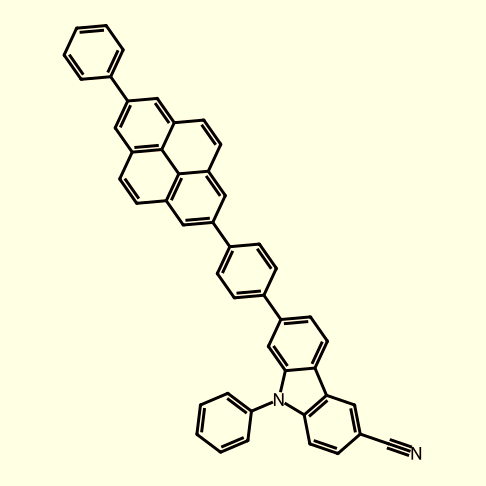 N#Cc1ccc2c(c1)c1ccc(-c3ccc(-c4cc5ccc6cc(-c7ccccc7)cc7ccc(c4)c5c67)cc3)cc1n2-c1ccccc1